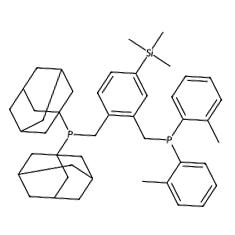 Cc1ccccc1P(Cc1cc([Si](C)(C)C)ccc1CP(C12CC3CC(CC(C3)C1)C2)C12CC3CC(CC(C3)C1)C2)c1ccccc1C